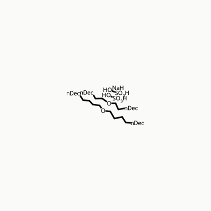 CCCCCCCCCCCCCCOCCCCCCCCCCCCCC.CCCCCCCCCCCCOCCCCCCCCCCCC.O=S(=O)(O)O.O=S(=O)(O)O.[NaH]